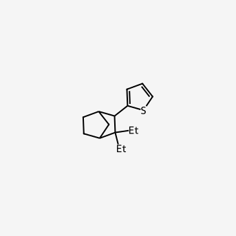 CCC1(CC)C2CCC(C2)C1c1cccs1